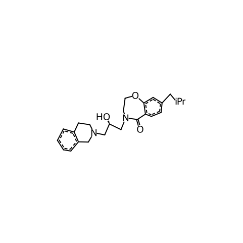 CC(C)Cc1ccc2c(c1)OCCN(C[C@H](O)CN1CCc3ccccc3C1)C2=O